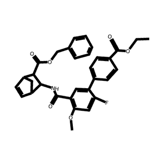 CCOC(=O)c1ccc(-c2cc(C(=O)NC3C4C=CC(C4)C3C(=O)OCc3ccccc3)c(OC)cc2F)cc1